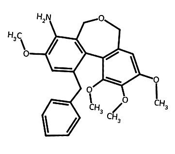 COc1cc(Cc2ccccc2)c2c(c1N)COCc1cc(OC)c(OC)c(OC)c1-2